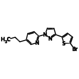 CCCc1ccc(-n2ccc(-c3ccc(Br)s3)n2)nc1